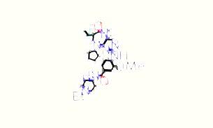 C=CC1(F)CN(C2CCCC2)c2nc(Nc3ccc(C(=O)NC4CCN(CC)CC4)cc3OC)ncc2N(C)C1=O